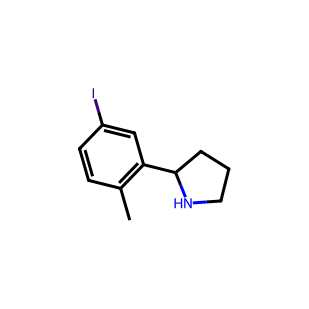 Cc1ccc(I)cc1C1CCCN1